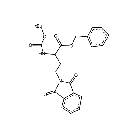 CC(C)(C)OC(=O)NC(CCN1C(=O)c2ccccc2C1=O)C(=O)OCc1ccccc1